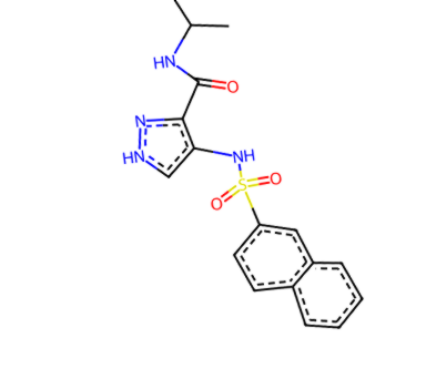 CC(C)NC(=O)c1n[nH]cc1NS(=O)(=O)c1ccc2ccccc2c1